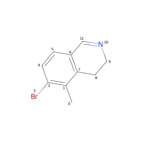 Cc1c(Br)ccc2c1CCN=C2